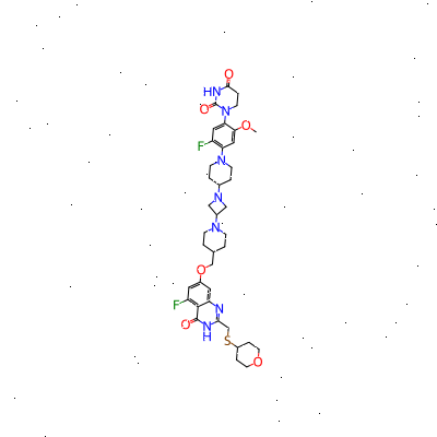 COc1cc(N2CCC(N3CC(N4CCC(COc5cc(F)c6c(=O)[nH]c(CSC7CCOCC7)nc6c5)CC4)C3)CC2)c(F)cc1N1CCC(=O)NC1=O